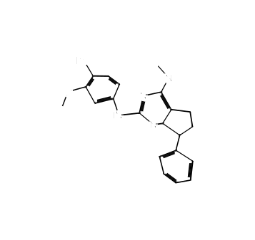 CNC1=C2CCC(c3ccccc3)C2NC(Nc2ccc(Br)c(OC)c2)=N1